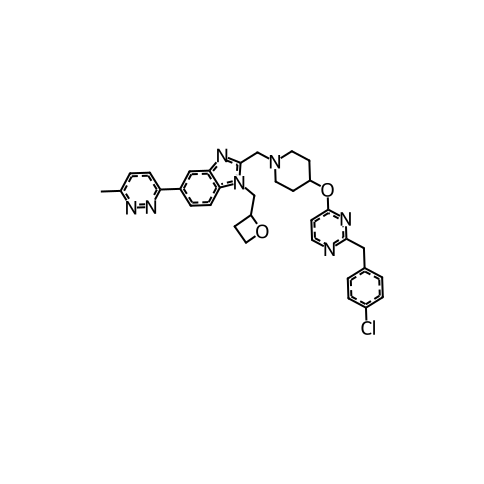 Cc1ccc(-c2ccc3c(c2)nc(CN2CCC(Oc4ccnc(Cc5ccc(Cl)cc5)n4)CC2)n3CC2CCO2)nn1